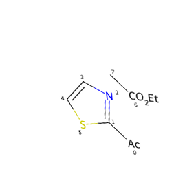 CC(=O)c1nccs1.CCOC(C)=O